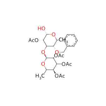 CC(=O)OC1[C@@H](OC(C)=O)C(C)O[C@@H](OC2[C@@H](OCc3ccccc3)C(C)O[C@@H](O)[C@H]2OC(C)=O)[C@H]1OC(C)=O